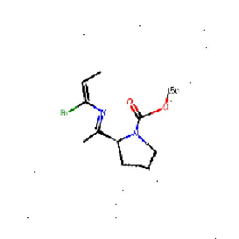 C/C=C(Br)\N=C(/C)[C@@H]1CCCN1C(=O)OC(C)(C)C